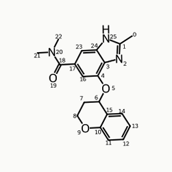 Cc1nc2c(OC3CCOc4ccccc43)cc(C(=O)N(C)C)cc2[nH]1